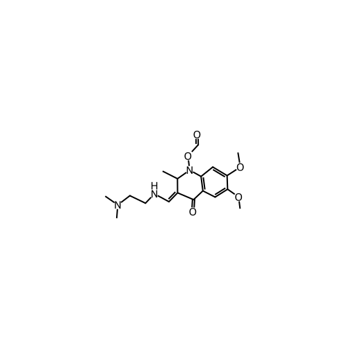 COc1cc2c(cc1OC)N(OC=O)C(C)C(=CNCCN(C)C)C2=O